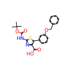 CC(C)(C)OC(=O)Nc1nc(C(=O)O)c(-c2cccc(OCc3ccccc3)c2)s1